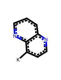 [K][c]1ccnc2cccnc12